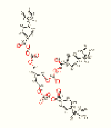 C=C[Si](C)(C=C)c1ccc(C(=O)OOC(=O)OCCC(CCOC(=O)OOC(=O)c2ccc([Si](C)(C=C)C=C)cc2)COC(=O)OOC(=O)c2ccc([Si](C)(C=C)C=C)cc2)cc1